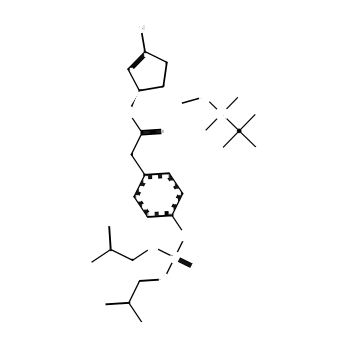 CC(C)COP(=O)(OCC(C)C)Oc1ccc(CC(=O)O[C@H]2C=C(N)C[C@@H]2CO[Si](C)(C)C(C)(C)C)cc1